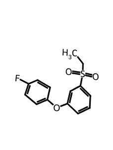 CCS(=O)(=O)c1cccc(Oc2ccc(F)cc2)c1